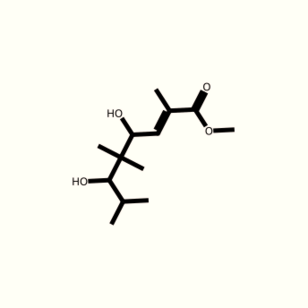 COC(=O)C(C)=CC(O)C(C)(C)C(O)C(C)C